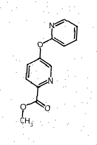 COC(=O)c1ccc(Oc2ccccn2)cn1